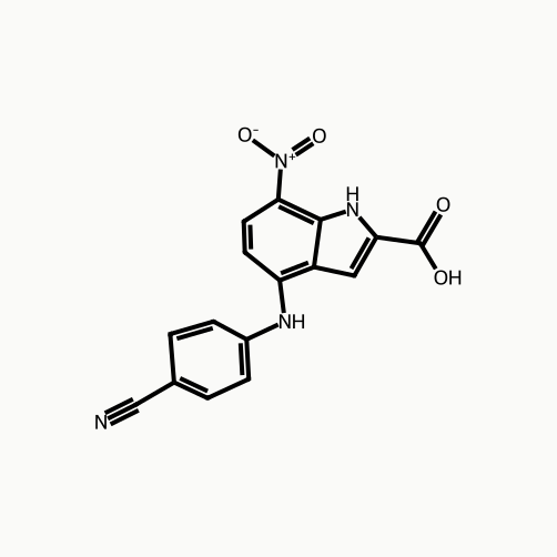 N#Cc1ccc(Nc2ccc([N+](=O)[O-])c3[nH]c(C(=O)O)cc23)cc1